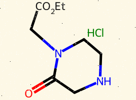 CCOC(=O)CN1CCNCC1=O.Cl